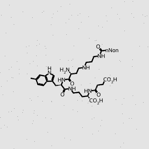 CCCCCCCCCC(=O)NCCCNCC[C@H](N)C(=O)N[C@H](Cc1c[nH]c2cc(C)ccc12)C(=O)NCCC[C@@H](NC(=O)CCC(=O)O)C(=O)O